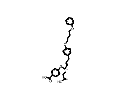 O=C(O)CC[C@@H](C=CCc1ccc(OCCCCOc2ccccc2)cc1)Sc1ccc(C(=O)O)cc1